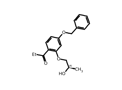 CCC(=O)c1ccc(OCc2ccccc2)cc1OC[C@@H](C)O